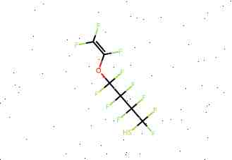 FC(F)=C(F)OC(F)(F)C(F)(F)C(F)(F)C(F)(F)S